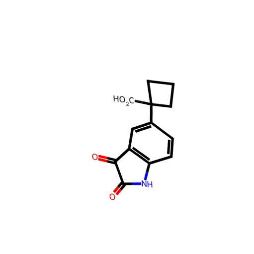 O=C1Nc2ccc(C3(C(=O)O)CCC3)cc2C1=O